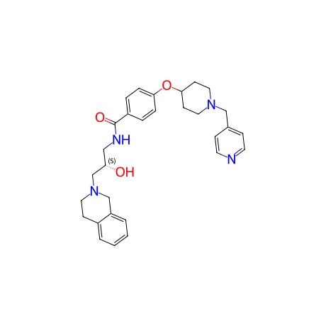 O=C(NC[C@H](O)CN1CCc2ccccc2C1)c1ccc(OC2CCN(Cc3ccncc3)CC2)cc1